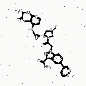 CC1Oc2cccc(NC3OC3[C@@H]3C[C@@H](F)CN3C(=O)Cn3nc(C(N)=O)c4cc(-c5ccnnc5)ccc43)c2NC1=O